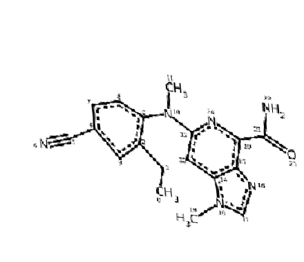 CCc1cc(C#N)ccc1N(C)c1cc2c(ncn2C)c(C(N)=O)n1